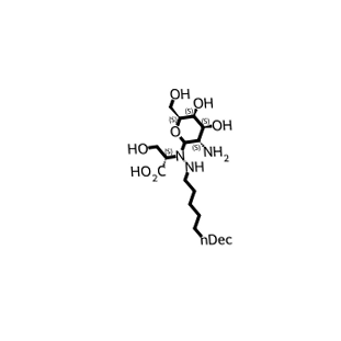 CCCCCCCCCCCCCCCNN(C1O[C@@H](CO)[C@@H](O)[C@@H](O)[C@@H]1N)[C@@H](CO)C(=O)O